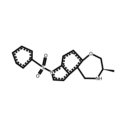 C[C@@H]1COc2ccc3c(ccn3S(=O)(=O)c3ccccc3)c2CN1